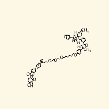 C[C@@H](NC(=O)c1cccc(NC2(c3nnc(-c4ccncc4)[nH]3)CCN(C)CC2)c1)c1ccc(OCCCCCCOCCOCCOCCCC(=O)N2CCN(c3ccc4c(c3)CN(C3CCC(=O)NC3=O)C4=O)CC2)cc1